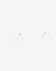 CCOc1nc2ccc(O[C@H]3CC[C@H](OC[C@H](C)NC(C)=O)CC3)nc2n1CC